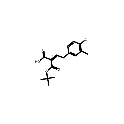 CC(C)(C)OC(=O)/C(=C\Cc1ccc(Cl)c(F)c1)C(=O)O